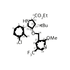 CCOC(=O)[C@H]1N[C@@H](c2cccc(Cl)c2C)[C@@H](OCc2cc(C(F)(F)F)cnc2OC)[C@H]1C(C)(C)C